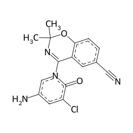 CC1(C)N=C(n2cc(N)cc(Cl)c2=O)c2cc(C#N)ccc2O1